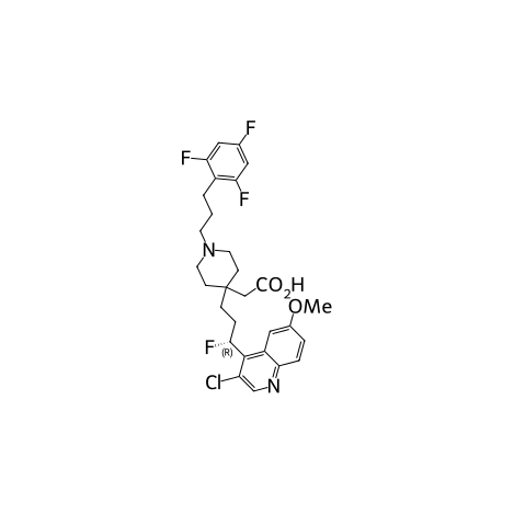 COc1ccc2ncc(Cl)c([C@H](F)CCC3(CC(=O)O)CCN(CCCc4c(F)cc(F)cc4F)CC3)c2c1